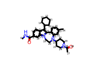 CNC(=O)c1ccc2c(C3CCCCC3)c3n(c2c1)CCN(C1CCN(C(C)=O)CC1)c1cc(C)ccc1-3